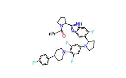 CCCC(=O)N1CCC[C@H]1c1nc2cc([C@H]3CCCN3c3cc(F)c(N4CCC(c5ccc(F)cc5)CC4)c(F)c3)c(F)cc2[nH]1